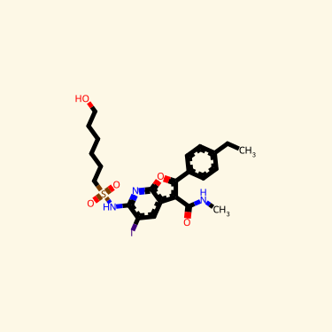 CCc1ccc(-c2oc3nc(NS(=O)(=O)CCCCCCO)c(I)cc3c2C(=O)NC)cc1